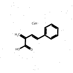 C=C(C=Cc1ccccc1)C(=O)O.[CsH]